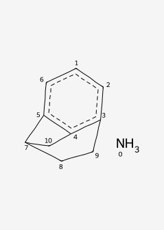 N.c1cc2c3c(c1)C(CC2)C3